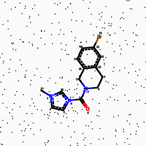 C[n+]1ccn(C(=O)N2CCc3cc(Br)ccc3C2)c1